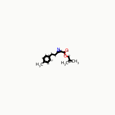 Cc1ccc(CCC2=NC2C(=O)OCC(C)C)cc1